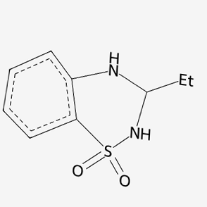 CCC1Nc2ccccc2S(=O)(=O)N1